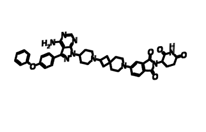 Nc1ncnc2c1c(-c1ccc(Oc3ccccc3)cc1)nn2C1CCN(C2CC3(CCN(c4ccc5c(c4)C(=O)N(C4CCC(=O)NC4=O)C5=O)CC3)C2)CC1